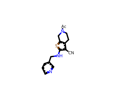 CC(=O)N1CCc2c(sc(NCc3cccnc3)c2C#N)C1